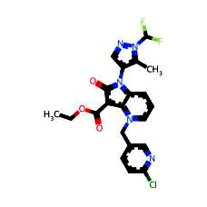 CCOC(=O)c1c2n(Cc3ccc(Cl)nc3)cccc-2n(-c2cnn(C(F)F)c2C)c1=O